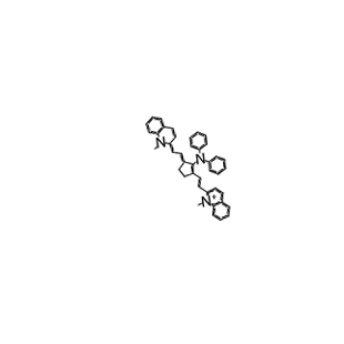 CN1/C(=C/C=C2\CCC(/C=C/c3ccc4ccccc4[n+]3C)=C2N(c2ccccc2)c2ccccc2)C=Cc2ccccc21